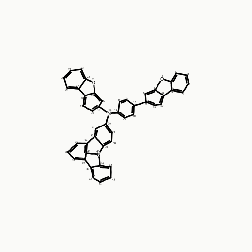 c1ccc2c(c1)oc1cc(-c3ccc(N(c4ccc5c(c4)oc4ccccc45)c4ccc5c(c4)c4cccc6c7ccccc7n5c64)cc3)ccc12